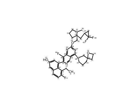 CCc1c(F)ccc2cc(O)cc(-c3ncc4c(N5CCC[C@@]6(CCO6)C5)nc(OC[C@@]56CCCN5C[C@@]5(CC5(F)F)C6)nc4c3F)c12